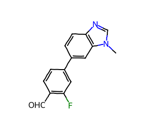 Cn1cnc2ccc(-c3ccc(C=O)c(F)c3)cc21